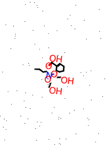 CCCCN(OCCO)OCCO.O=C(O)C1=CCCCC1